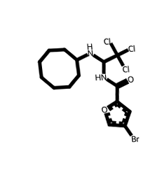 O=C(NC(NC1CCCCCCC1)C(Cl)(Cl)Cl)c1cc(Br)co1